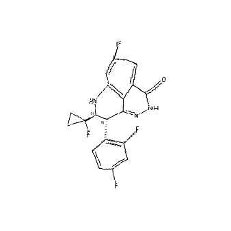 O=c1[nH]nc2c3c(cc(F)cc13)N[C@H](C1(F)CC1)[C@H]2c1ccc(F)cc1F